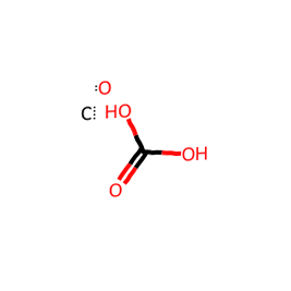 O=C(O)O.[C].[O]